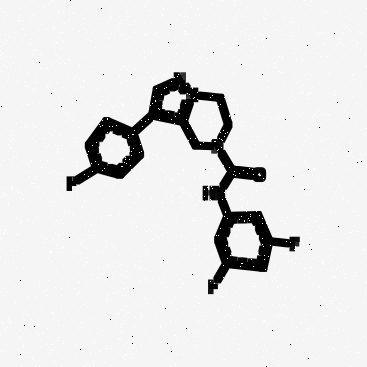 O=C(Nc1cc(F)cc(F)c1)N1CCn2ncc(-c3ccc(F)cc3)c2C1